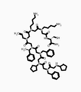 C=CCN(CC(=O)N(CCCCN)CC(=O)N(CCCCN)CC(=O)N[C@H](CS)C(N)=O)C(=O)CN(C(=O)CN(Cc1ccccc1)C(=O)CN(C(=O)CN(Cc1ccccc1)C(=O)CNC1CCCC1)C1CCCC1)[C@H](C)c1ccccc1